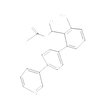 CCC(=O)OC(C)c1c(C)cccc1-c1ccc(-c2cccnc2)cc1